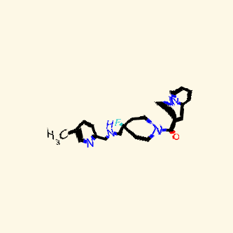 Cc1ccc(CNCC2(F)CCN(C(=O)c3cc4ccccn4c3)CC2)nc1